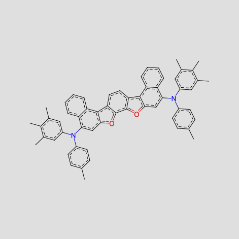 Cc1ccc(N(c2cc(C)c(C)c(C)c2)c2cc3oc4c(ccc5c4oc4cc(N(c6ccc(C)cc6)c6cc(C)c(C)c(C)c6)c6ccccc6c45)c3c3ccccc23)cc1